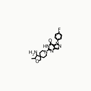 CC1OCC2(CCN(c3nc4cnn(-c5ccc(F)cc5)c4c(=O)[nH]3)CC2)C1N